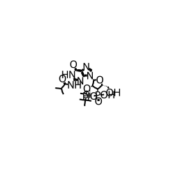 CC(C)C(=O)Nc1nc2c(ncn2[C@@H]2O[C@H](CO)[C@@H](P(=O)(O)O)[C@@H]2O[Si](C)(C)C(C)(C)C)c(=O)[nH]1